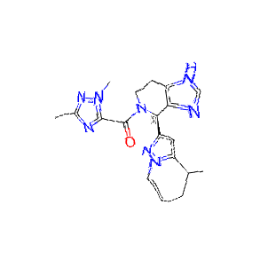 Cc1nc(C(=O)N2CCc3[nH]cnc3[C@H]2c2cc3n(n2)C=CCC3C)n(C)n1